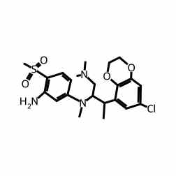 CC(c1cc(Cl)cc2c1OCCO2)C(CN(C)C)N(C)c1ccc(S(C)(=O)=O)c(N)c1